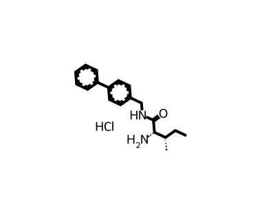 CC[C@H](C)[C@H](N)C(=O)NCc1ccc(-c2ccccc2)cc1.Cl